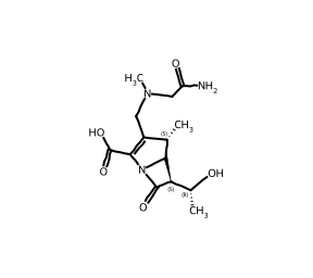 C[C@H]1C(CN(C)CC(N)=O)=C(C(=O)O)N2C(=O)[C@H]([C@@H](C)O)C12